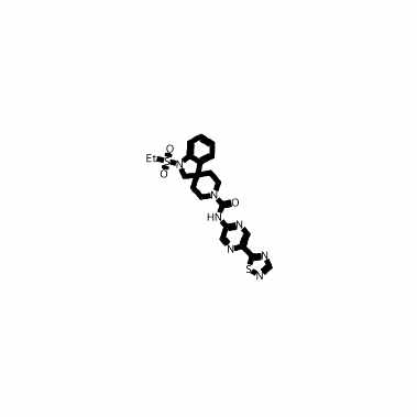 CCS(=O)(=O)N1CC2(CCN(C(=O)Nc3cnc(-c4ncns4)cn3)CC2)c2ccccc21